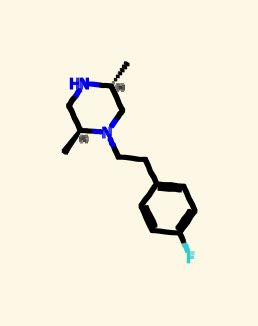 C[C@@H]1CN(CCc2ccc(F)cc2)[C@@H](C)CN1